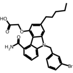 CCCCCc1cc(OCC(=O)O)c2c3c(C(N)=O)cccc3n(Cc3cccc(Br)c3)c2c1